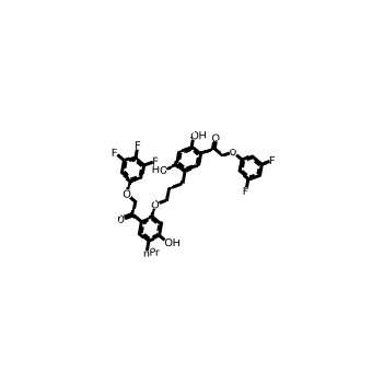 CCCc1cc(C(=O)COc2cc(F)c(F)c(F)c2)c(OCCCc2cc(C(=O)COc3cc(F)cc(F)c3)c(O)cc2O)cc1O